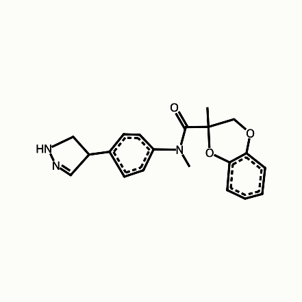 CN(C(=O)C1(C)COc2ccccc2O1)c1ccc(C2C=NNC2)cc1